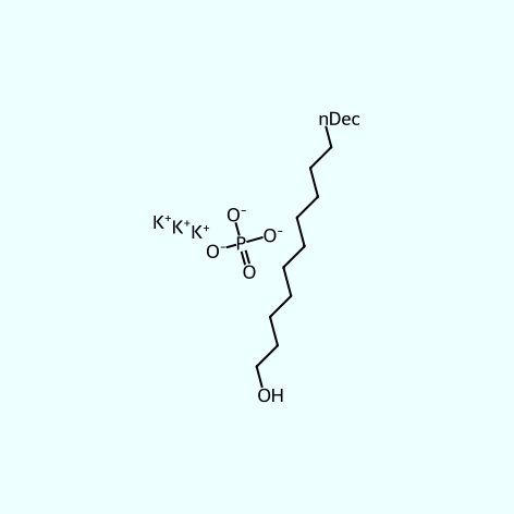 CCCCCCCCCCCCCCCCCCCCO.O=P([O-])([O-])[O-].[K+].[K+].[K+]